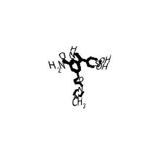 CN1CCN(Cc2ccc(-c3cc(C(N)=O)c4[nH]cc(C5CCS(O)(O)CC5)c4c3)o2)CC1